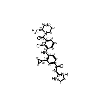 O=C(N=C1NCCN1)c1ccc(Nc2cccc(C(=O)N3CCOCC3C(F)(F)F)c2Cl)c(C2CC2)c1